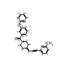 Cc1cccc(C#CC=C2CCN(C(=O)c3cccc(Oc4ncccn4)c3)CC2)n1